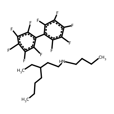 CCCCNCCC(CC)CCCC.Fc1c(F)c(F)c(-c2c(F)c(F)c(F)c(F)c2F)c(F)c1F